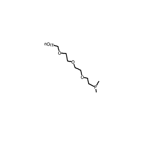 CCCCCCCCCOCCOCCOCCP(C)C